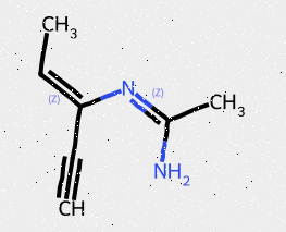 C#CC(=C/C)/N=C(/C)N